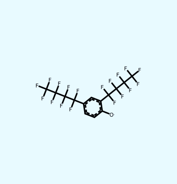 [O]c1ccc(C(F)(F)C(F)(F)C(F)(F)C(F)(F)F)cc1C(F)(F)C(F)(F)C(F)(F)C(F)(F)F